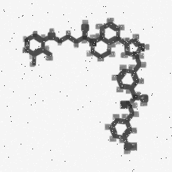 Cc1cccc(OCCCC(=O)N2CCCc3c(-c4cnn(Cc5cccc(C(=O)NCc6cccc(O)c6)c5)c4)cccc32)c1C